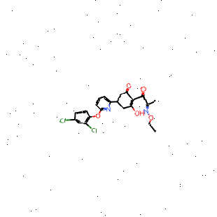 CCON=C(C)C(=O)C1=C(O)CC(c2cccc(Oc3ccc(Cl)cc3Cl)n2)CC1=O